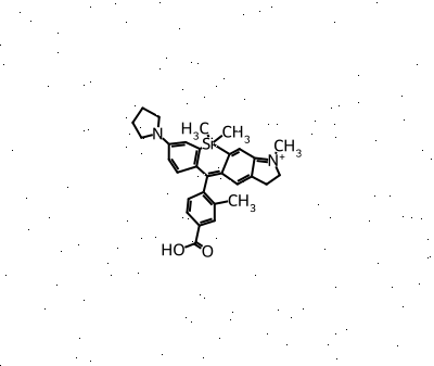 Cc1cc(C(=O)O)ccc1C1=c2cc3c(cc2[Si](C)(C)c2cc(N4CCCC4)ccc21)=[N+](C)CC3